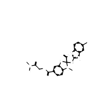 Cc1ccc2nc(NC3(C(N)=O)Nc4cc(C(=O)OCC(=O)N(C)C)ccc4N3C)sc2c1